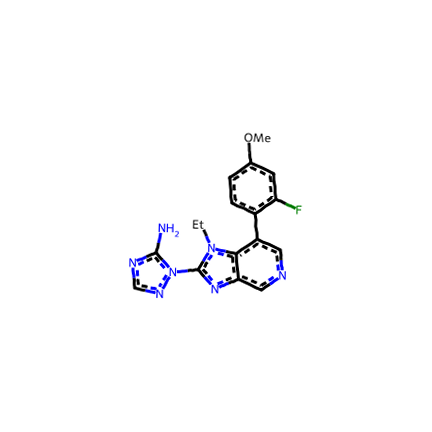 CCn1c(-n2ncnc2N)nc2cncc(-c3ccc(OC)cc3F)c21